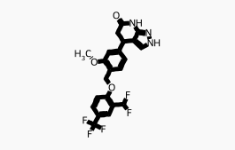 COc1cc(C2CC(=O)Nc3n[nH]cc32)ccc1COc1ccc(C(F)(F)F)cc1C(F)F